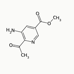 COC(=O)c1cnc(C(C)=O)c(N)c1